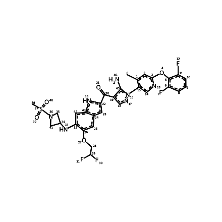 Cc1cc(Oc2c(F)cccc2F)ncc1-n1ncc(C(=O)c2cc3cc(OCC(F)F)c(NC4CN(S(C)(=O)=O)C4)cc3[nH]2)c1N